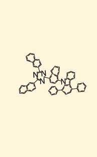 c1ccc(-c2ccc(-c3ccccc3)c3c2c2ccccc2n3-c2ccc(-c3nc(-c4ccc5ccccc5c4)nc(-c4ccc5ccccc5c4)n3)c3ccccc23)cc1